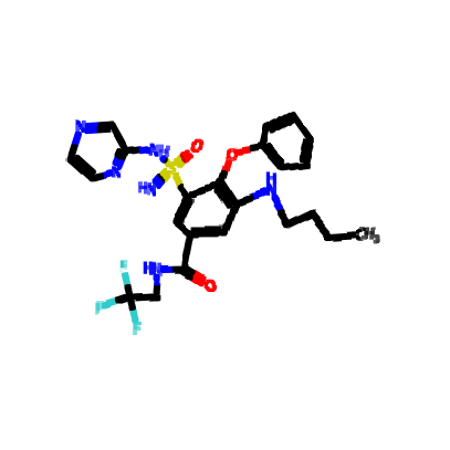 CCCCNc1cc(C(=O)NCC(F)(F)F)cc(S(=N)(=O)Nc2cnccn2)c1Oc1ccccc1